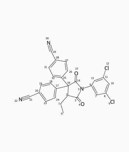 CCC1C(=O)N(c2cc(Cl)cc(Cl)c2)C(=O)C1(c1ccc(C#N)cc1)c1ccc(C#N)cc1